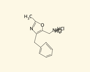 Cc1nc(Cc2ccccc2)c(CN)o1.Cl.Cl